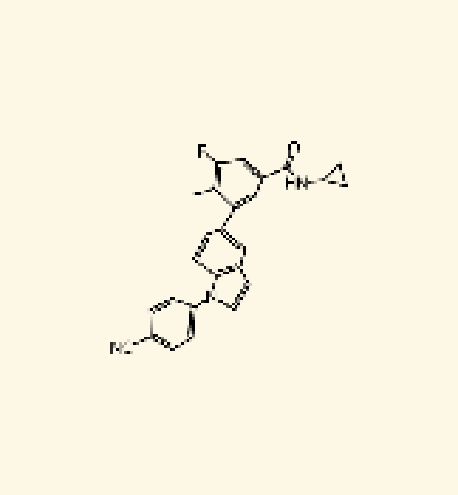 Cc1c(F)cc(C(=O)NC2CC2)cc1-c1ccc2c(ccn2-c2ccc(C#N)cc2)c1